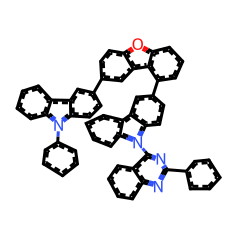 c1ccc(-c2nc(-n3c4ccccc4c4cc(-c5cccc6oc7ccc(-c8ccc9c(c8)c8ccccc8n9-c8ccccc8)cc7c56)ccc43)c3ccccc3n2)cc1